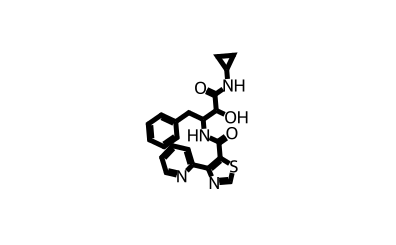 O=C(NC(Cc1ccccc1)C(O)C(=O)NC1CC1)c1scnc1-c1ccccn1